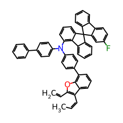 C=Cc1oc2c(-c3ccc(N(c4ccc(-c5ccccc5)cc4)c4cccc5c4-c4ccccc4C54c5ccccc5-c5ccc(F)cc54)cc3)cccc2c1/C=C\C